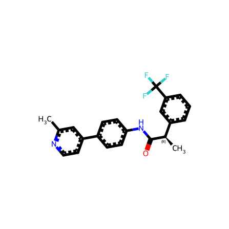 Cc1cc(-c2ccc(NC(=O)[C@H](C)c3cccc(C(F)(F)F)c3)cc2)ccn1